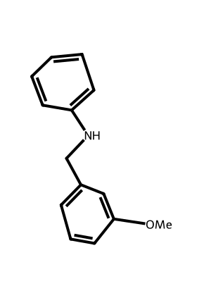 COc1cccc(CNc2ccccc2)c1